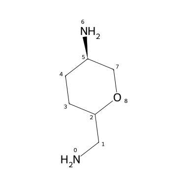 NCC1CC[C@@H](N)CO1